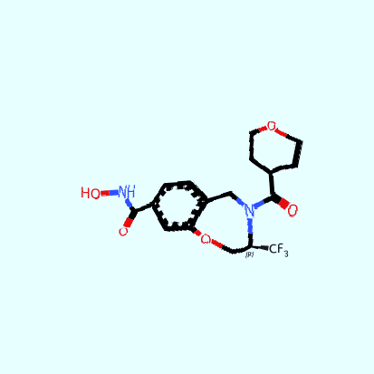 O=C(NO)c1ccc2c(c1)OC[C@H](C(F)(F)F)N(C(=O)C1CCOCC1)C2